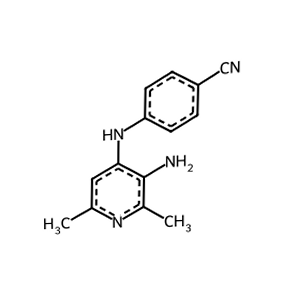 Cc1cc(Nc2ccc(C#N)cc2)c(N)c(C)n1